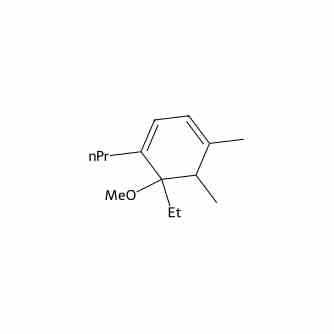 CCCC1=CC=C(C)C(C)C1(CC)OC